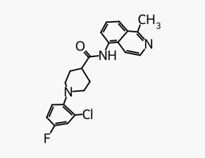 Cc1nccc2c(NC(=O)C3CCN(c4ccc(F)cc4Cl)CC3)cccc12